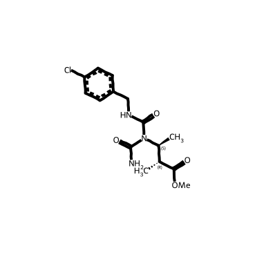 COC(=O)[C@H](C)[C@H](C)N(C(N)=O)C(=O)NCc1ccc(Cl)cc1